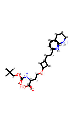 CC(C)(C)COC(=O)NC(CCOC1CC(CCc2ccc3c(n2)NCCC3)C1)C(=O)O